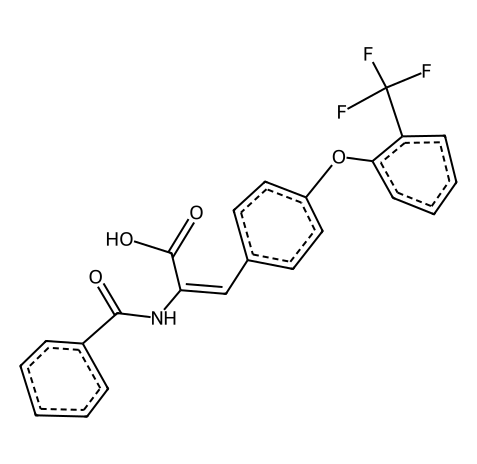 O=C(O)/C(=C\c1ccc(Oc2ccccc2C(F)(F)F)cc1)NC(=O)c1ccccc1